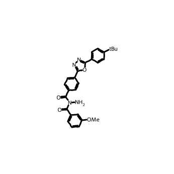 COc1cccc(C(=O)N(N)C(=O)c2ccc(-c3nnc(-c4ccc(C(C)(C)C)cc4)o3)cc2)c1